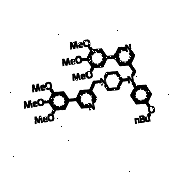 CCCCOc1ccc(N(Cc2cncc(-c3cc(OC)c(OC)c(OC)c3)c2)C2CCN(Cc3cncc(-c4cc(OC)c(OC)c(OC)c4)c3)CC2)cc1